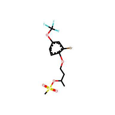 CC(CCOc1ccc(OC(F)(F)F)cc1Br)OS(C)(=O)=O